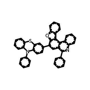 c1ccc(-c2nc3ccccc3c3c2cc(-c2ccc4c(c2)Sc2ccccc2N4c2ccccc2)c2oc4ccccc4c23)cc1